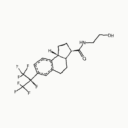 O=C(NCCO)[C@@H]1CC[C@H]2c3ccc(C(F)(C(F)(F)F)C(F)(F)F)cc3CCC12